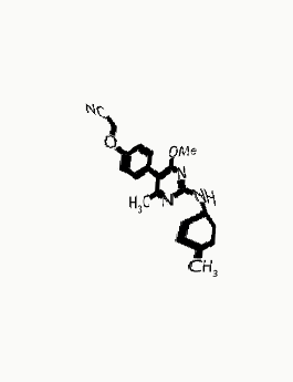 COc1nc(NC2CCC(C)CC2)nc(C)c1-c1ccc(OCC#N)cc1